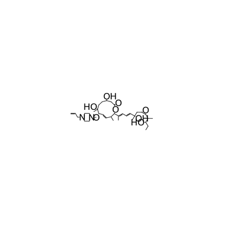 C=CCN1CCN(OC2/C=C/C(C)C(/C(C)=C/C=C/C(C)(O)CC3OC3C(C)C(O)CC)OC(=O)CC(O)CCC2(C)O)CC1